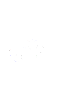 CC(=O)Nc1cc(-c2nc(C(=O)NCCOCCO)c(-c3ccccc3Cl)o2)c(C)cn1